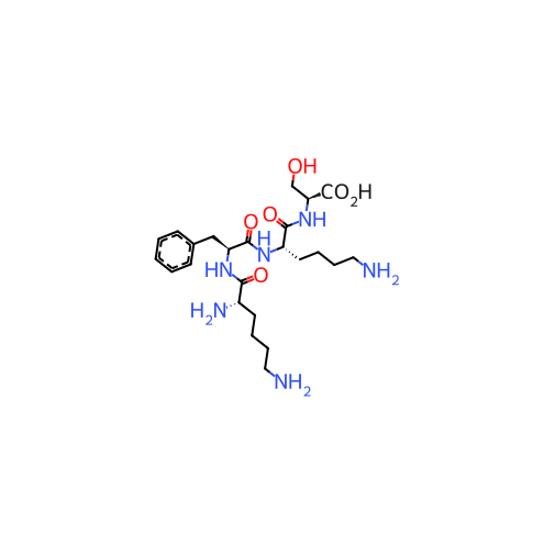 NCCCC[C@H](NC(=O)[C@H](Cc1ccccc1)NC(=O)[C@@H](N)CCCCN)C(=O)N[C@@H](CO)C(=O)O